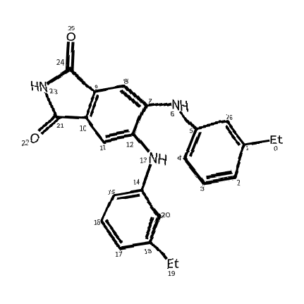 CCc1cccc(Nc2cc3c(cc2Nc2cccc(CC)c2)C(=O)NC3=O)c1